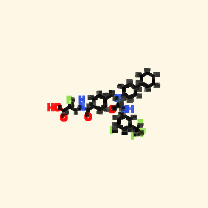 O=C(NCC(F)C(=O)O)c1ccc(CN(C(=O)Nc2cc(F)cc(C(F)(F)F)c2)c2ccc(C3=CCCCC3)cc2)cc1